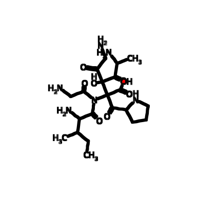 CCC(C)C(N)C(=O)N(C(=O)CN)C(C(=O)O)(C(=O)C1CCCN1)C(O)(C(=O)CN)C(=O)C(C)N